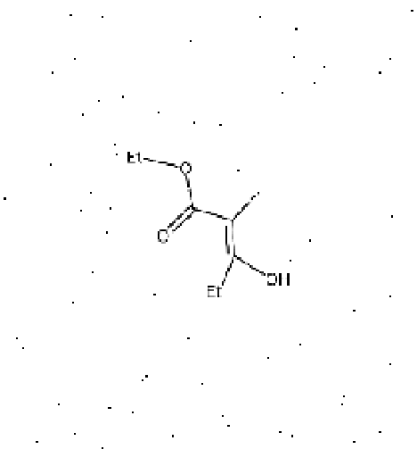 CCOC(=O)/C(C)=C(/O)CC